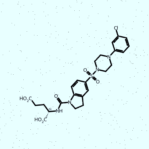 O=C(O)CC[C@H](NC(=O)N1CCc2cc(S(=O)(=O)N3CCN(c4cccc(Cl)c4)CC3)ccc21)C(=O)O